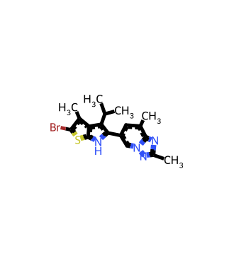 Cc1nc2c(C)cc(-c3[nH]c4sc(Br)c(C)c4c3C(C)C)cn2n1